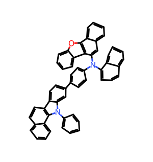 c1ccc(-n2c3cc(-c4ccc(N(c5cccc6ccccc56)c5cc6ccccc6c6oc7ccccc7c56)cc4)ccc3c3ccc4ccccc4c32)cc1